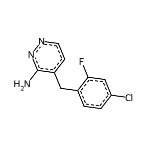 Nc1nnccc1Cc1ccc(Cl)cc1F